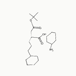 CC(C)(C)OC(=O)C[C@@H](CCCC1CCCCC1)C(=O)O.NC1CCCCC1